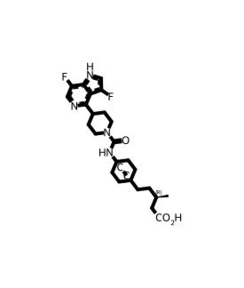 C[C@H](CCC12CCC(NC(=O)N3CCC(c4ncc(F)c5[nH]cc(F)c45)CC3)(CC1)CC2)CC(=O)O